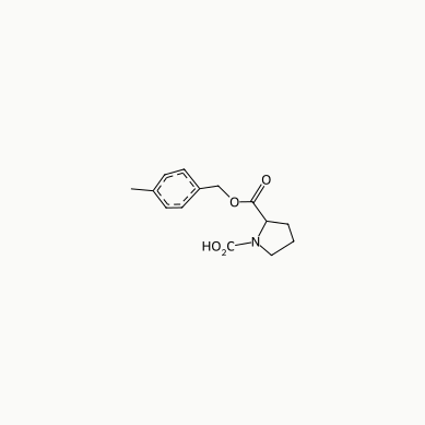 Cc1ccc(COC(=O)C2CCCN2C(=O)O)cc1